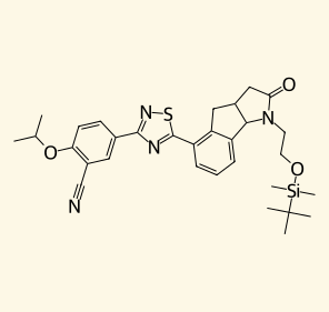 CC(C)Oc1ccc(-c2nsc(-c3cccc4c3CC3CC(=O)N(CCO[Si](C)(C)C(C)(C)C)C43)n2)cc1C#N